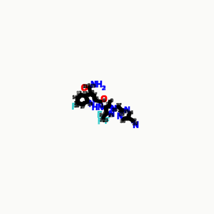 Cc1c(NC(=O)c2cc(C(N)=O)c3ccc(F)cc3n2)c(C(F)(F)F)nn1Cc1ncc(C#N)cn1